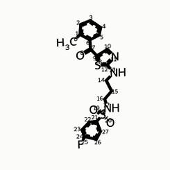 Cc1ccccc1C(=O)c1cnc(NCCCNS(=O)(=O)c2ccc(F)cc2)s1